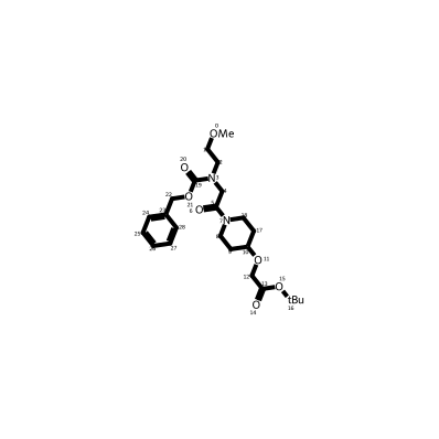 COCCN(CC(=O)N1CCC(OCC(=O)OC(C)(C)C)CC1)C(=O)OCc1ccccc1